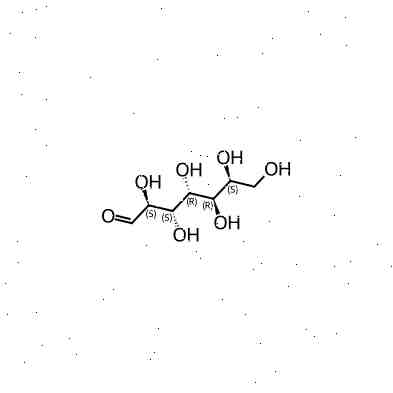 O=C[C@@H](O)[C@@H](O)[C@H](O)[C@H](O)[C@@H](O)CO